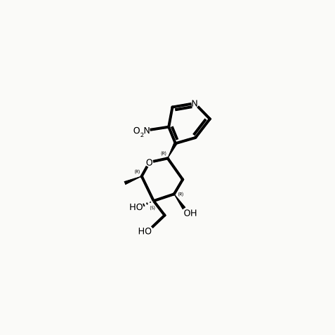 C[C@H]1O[C@@H](c2ccncc2[N+](=O)[O-])C[C@@H](O)[C@@]1(O)CO